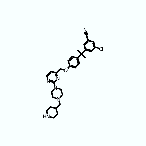 CC(C)(c1ccc(OCc2ccnc(N3CCN(CC4CCNCC4)CC3)n2)cc1)c1cc(Cl)cc(C#N)c1